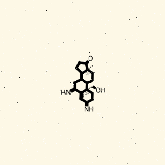 C[C@]12CCC3C(CC(=N)C4=CC(=N)CC[C@@]43CO)C1CCC2=O